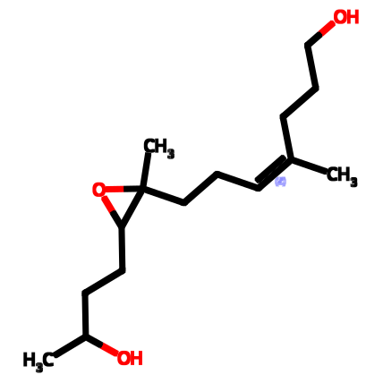 C/C(=C/CCC1(C)OC1CCC(C)O)CCCO